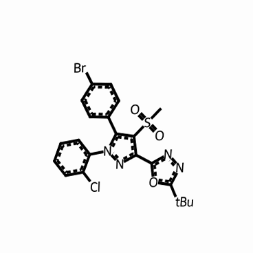 CC(C)(C)c1nnc(-c2nn(-c3ccccc3Cl)c(-c3ccc(Br)cc3)c2S(C)(=O)=O)o1